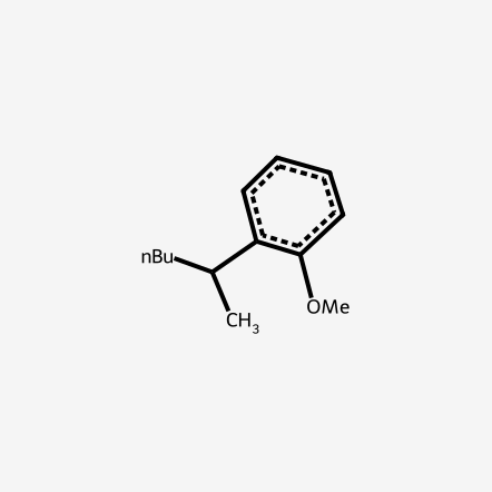 CCCCC(C)c1ccccc1OC